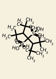 CC(C)(C)C(C(C)(C)C)C(C(C(C)(C)C)C(C)(C)C)(S(=O)(=O)O)S(=O)(=O)O